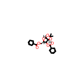 CC1(C)O[C@H]2O[C@H](COC(=O)c3ccccc3)C(OC(=O)c3ccccc3)[C@@H]2O1